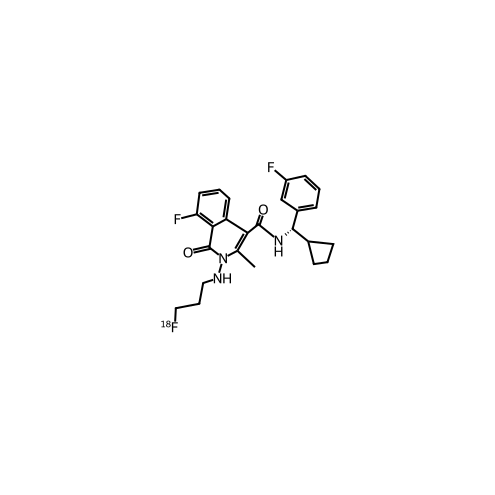 Cc1c(C(=O)N[C@H](c2cccc(F)c2)C2CCC2)c2cccc(F)c2c(=O)n1NCCC[18F]